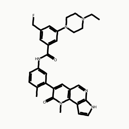 CCN1CCN(c2cc(CF)cc(C(=O)Nc3ccc(C)c(-c4cc5cnc6[nH]ccc6c5n(C)c4=O)c3)c2)CC1